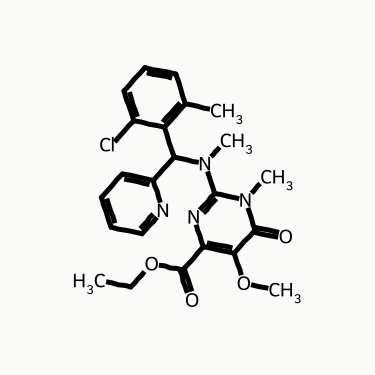 CCOC(=O)c1nc(N(C)C(c2ccccn2)c2c(C)cccc2Cl)n(C)c(=O)c1OC